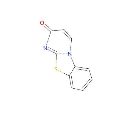 O=c1ccn2c(n1)sc1ccccc12